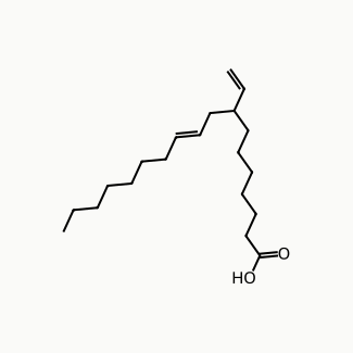 C=CC(CC=CCCCCCCC)CCCCCCC(=O)O